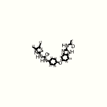 CC(=O)Nc1nc2cc(Oc3ccc(NC(=O)Nc4nc(C)c(C)s4)cc3)ccc2[nH]1